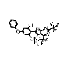 Nc1c2c(C(F)(F)F)nc(C(F)(F)F)nc2nn1-c1c(Cl)cc(Oc2ccccc2)cc1Cl